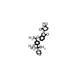 Bc1cc(C(B)Oc2cccc3c2CN(C2CCC(=O)NC2=O)C3=O)ccc1C(B)(B)N1CCOCC1